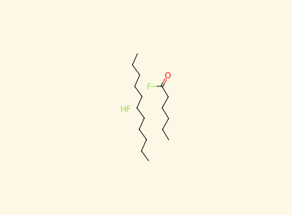 CCCCCC(=O)F.CCCCCCCCCCC.F